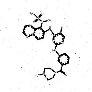 CN1CCN(C(=O)c2cccc(Nc3ncc(Br)c(Nc4ccc5nccnc5c4N(C)S(C)(=O)=O)n3)c2)CC1